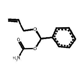 C=CCOC(OC(N)=O)c1ccccc1